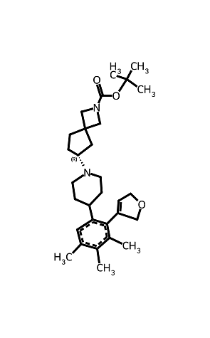 Cc1cc(C2CCN([C@@H]3CCC4(C3)CN(C(=O)OC(C)(C)C)C4)CC2)c(C2=CCOC2)c(C)c1C